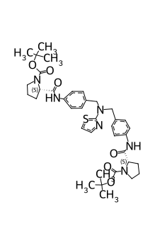 CC(C)(C)OC(=O)N1CCC[C@H]1C(=O)Nc1ccc(CN(Cc2ccc(NC(=O)[C@@H]3CCCN3C(=O)OC(C)(C)C)cc2)c2nccs2)cc1